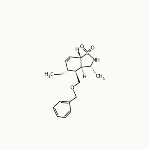 CC[C@@H]1C=C[C@H]2[C@H]([C@H]1COCc1ccccc1)[C@@H](C)NS2(=O)=O